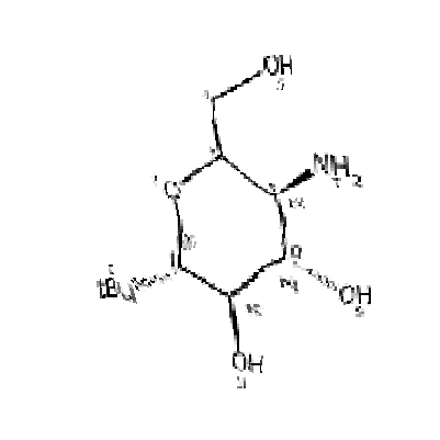 CC(C)(C)[C@@H]1OC(CO)[C@@H](N)[C@H](O)C1O